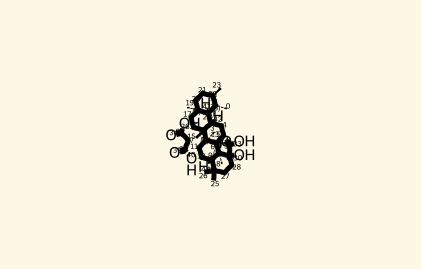 C[C@@H]1[C@H]2[C@H]3CC[C@@H]4[C@]5(C)[C@@H](CC[C@@]4(C)[C@]3(C)CC[C@@]2(C)CC[C@H]1C)C(C)(C)CCC5(O)C(=O)O.O=C(O)CC(=O)O